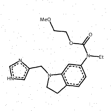 CCN(C(=O)OCCOC)c1ccc2c(c1)N(Cc1c[nH]cn1)CC2